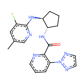 Cc1cnc(N[C@H]2CCC[C@@H]2NC(=O)c2ncccc2-n2nccn2)c(F)c1